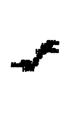 COC(=O)NC(C(=O)N1CCCC1c1ncc(-c2ccc(-c3ccc4cc(-c5cnc([C@@H]6CCCN6C(=O)[C@@H](NC(=O)OC)C(C)C)[nH]5)ccc4c3)cc2)[nH]1)[C@@H](C)OC(C)(C)C